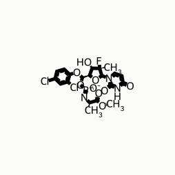 COC(=O)[C@H](C)/N=[P+](\[O-])OC(Oc1ccc(Cl)cc1Cl)[C@@H]1OC(n2ccc(=O)[nH]c2=O)[C@](C)(F)[C@@H]1O